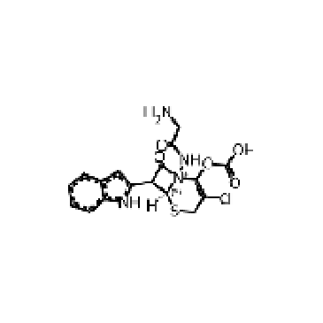 NCC(=O)N[N+]12C(=O)C(c3cc4ccccc4[nH]3)[C@@H]1SCC(Cl)=C2OC(=O)O